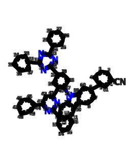 N#Cc1cccc(-c2ccc3c4ccccc4n(-c4ccc(-c5nc(-c6ccccc6)nc(-c6ccccc6)n5)cc4-c4cc(-c5ccccc5)nc(-c5ccccc5)n4)c3c2)c1